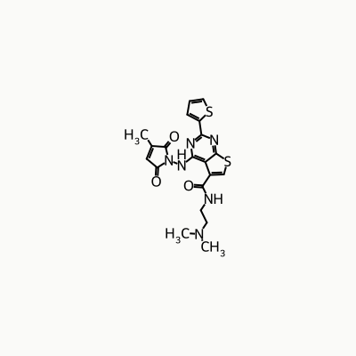 CC1=CC(=O)N(Nc2nc(-c3cccs3)nc3scc(C(=O)NCCN(C)C)c23)C1=O